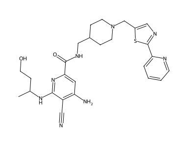 CC(CCO)Nc1nc(C(=O)NCC2CCN(Cc3cnc(-c4ccccn4)s3)CC2)cc(N)c1C#N